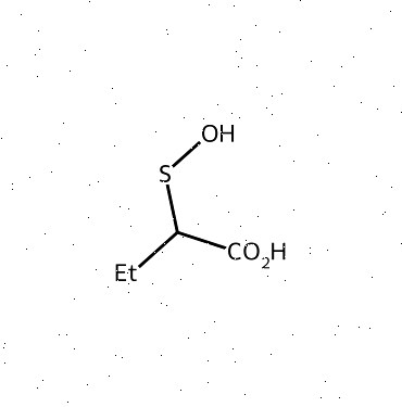 CCC(SO)C(=O)O